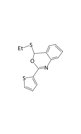 CCSC1OC(c2cccs2)=Nc2ccccc21